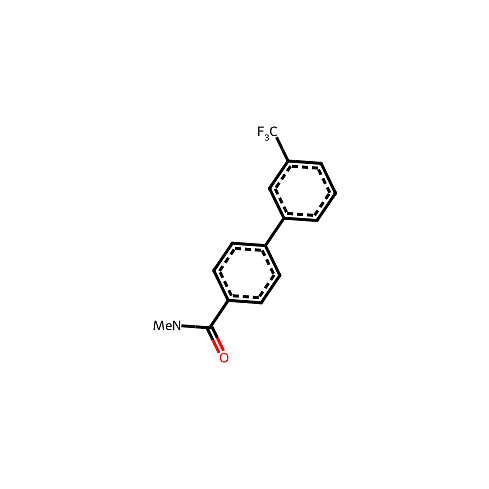 CNC(=O)c1ccc(-c2cccc(C(F)(F)F)c2)cc1